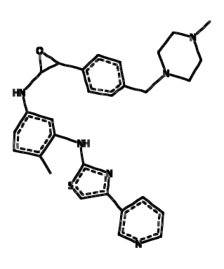 Cc1ccc(NC2OC2c2ccc(CN3CCN(C)CC3)cc2)cc1Nc1nc(-c2cccnc2)cs1